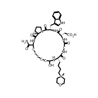 C[N+]1(CCCC[C@@H]2NC(O)CCSSCC(C(N)=O)NC(=O)[C@@H]3CCCN3C(=O)[C@H](Cc3c[nH]c4ccccc34)NC(=O)[C@H](CC(=O)O)NC(=O)CNC2=O)CCOCC1